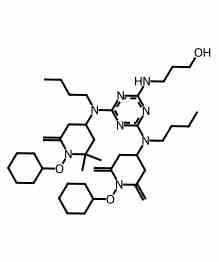 C=C1CC(N(CCCC)c2nc(NCCCO)nc(N(CCCC)C3CC(=C)N(OC4CCCCC4)C(C)(C)C3)n2)CC(=C)N1OC1CCCCC1